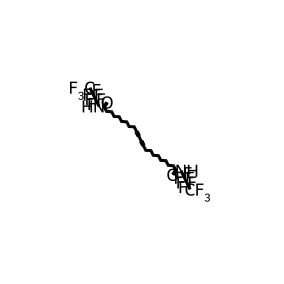 O=C(CCCCCCCCC#CC#CCCCCCCCCC(=O)NC(F)(F)C(F)(F)C(F)(F)C(F)(F)F)NC(F)(F)C(F)(F)C(F)(F)C(F)(F)F